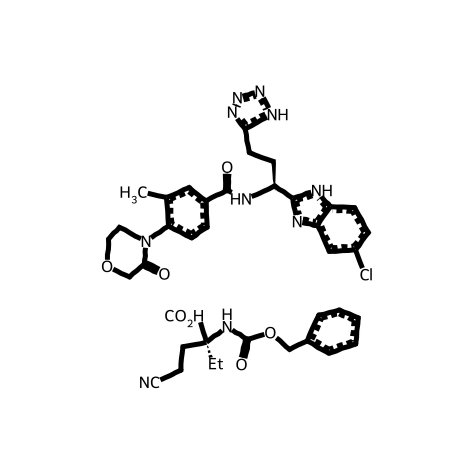 CC[C@@](CCC#N)(NC(=O)OCc1ccccc1)C(=O)O.Cc1cc(C(=O)N[C@@H](CCc2nnn[nH]2)c2nc3cc(Cl)ccc3[nH]2)ccc1N1CCOCC1=O